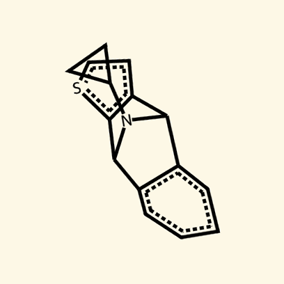 c1ccc2c(c1)C1c3ccsc3C2N1C1CC1